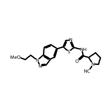 COCCn1ncc2cc(-c3cnc(NC(=O)C4CCCN4C#N)s3)ccc21